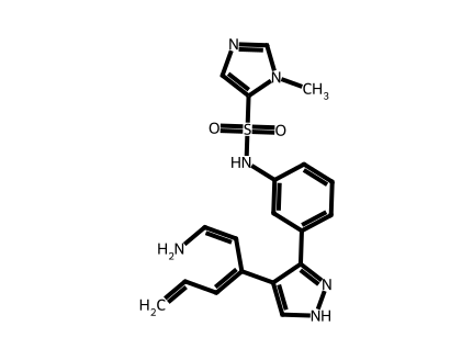 C=C/C=C(\C=C/N)c1c[nH]nc1-c1cccc(NS(=O)(=O)c2cncn2C)c1